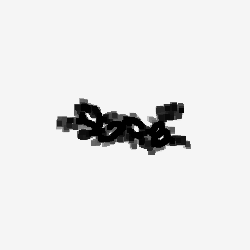 CO[C@H]1CC(N2CCN(C3(C)CCN(C(=O)c4c(C)ncnc4C)CC3)C[C@@H]2C)c2ccc(C)cc21